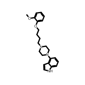 COc1ccccc1OCCCCN1CCN(c2cccc3[nH]ccc23)CC1